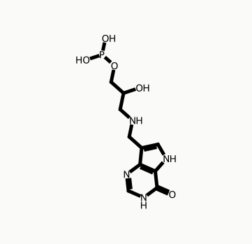 O=c1[nH]cnc2c(CNCC(O)COP(O)O)c[nH]c12